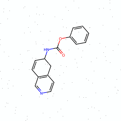 O=C(NC1C=Cc2cnccc2C1)Oc1ccccc1